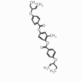 C=CC(CC)Oc1ccc(C(=O)Oc2ccc(OC(=O)c3ccc(OC(C=C)CC)cc3)c(C)c2)cc1